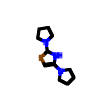 C1=C(N2CCCC2)NC(N2CCCC2)S1